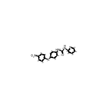 O=C(Nc1ccc(Sc2ccc([N+](=O)[O-])cc2)cc1)Nc1ccccn1